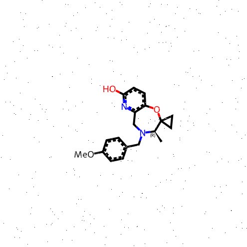 COc1ccc(CN2Cc3nc(O)ccc3OC3(CC3)[C@H]2C)cc1